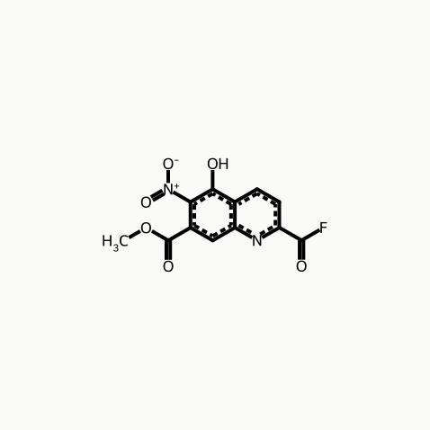 COC(=O)c1cc2nc(C(=O)F)ccc2c(O)c1[N+](=O)[O-]